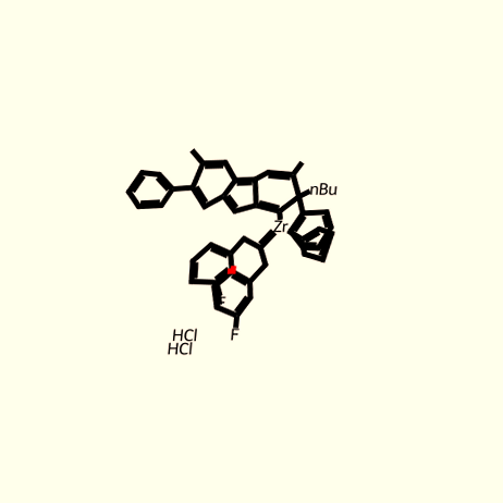 CCCCC1(c2ccccc2)C(C)=CC2=c3cc(C)c(-c4ccccc4)cc3=CC2=[C]1[Zr]([C]1=CC=CC1)=[C](Cc1cccc(F)c1)Cc1cccc(F)c1.Cl.Cl